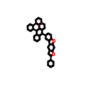 c1ccc(-c2cc3cc4c(cc3o2)oc2ccc(-c3c5ccccc5c(-c5ccccc5-c5ccccc5)c5ccccc35)cc24)cc1